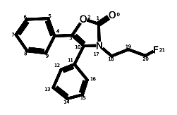 O=c1oc(-c2ccccc2)c(-c2ccccc2)n1CCCF